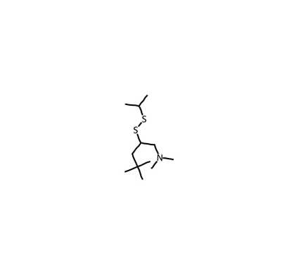 CC(C)SSC(CN(C)C)CC(C)(C)C